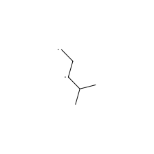 [CH2]C[CH]C(C)C